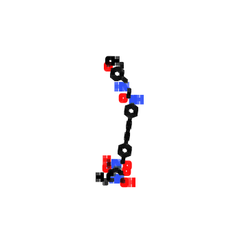 COc1ccc(CNCC(=O)Nc2ccc(C#CC#Cc3ccc(C(=O)N[C@H](C(=O)NO)[C@@H](C)O)cc3)cc2)cc1